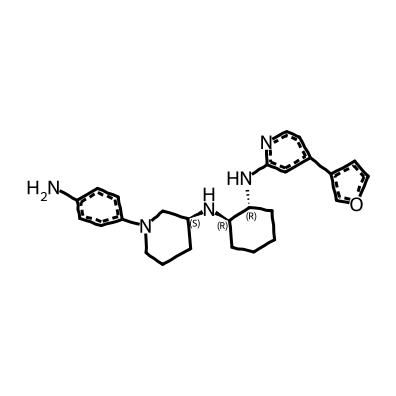 Nc1ccc(N2CCC[C@H](N[C@@H]3CCCC[C@H]3Nc3cc(-c4ccoc4)ccn3)C2)cc1